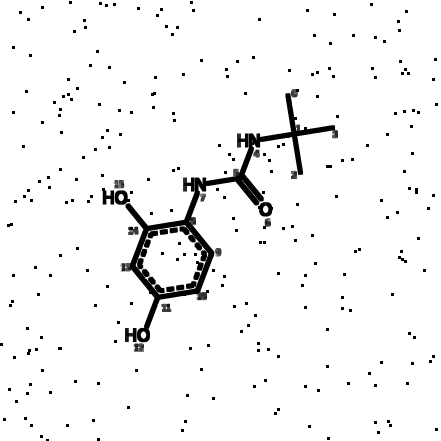 CC(C)(C)NC(=O)Nc1ccc(O)cc1O